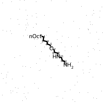 CCCCCCCCCCCCCOCCCNCCCN